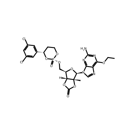 CCOc1nc(N)nc2c1ncn2[C@@H]1O[C@H](CO[P@@]2(=O)OCC[C@@H](c3cc(Cl)cc(Cl)c3)O2)[C@H]2OC(=O)O[C@]21C